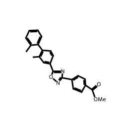 COC(=O)c1ccc(-c2noc(-c3ccc(-c4ccccc4C)c(C)c3)n2)cc1